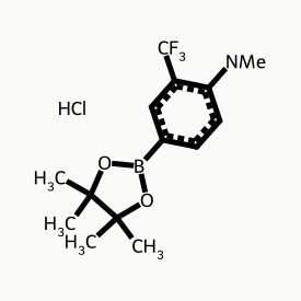 CNc1ccc(B2OC(C)(C)C(C)(C)O2)cc1C(F)(F)F.Cl